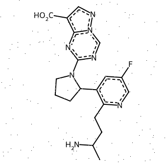 CC(N)CCc1ncc(F)cc1C1CCCN1c1ncn2ncc(C(=O)O)c2n1